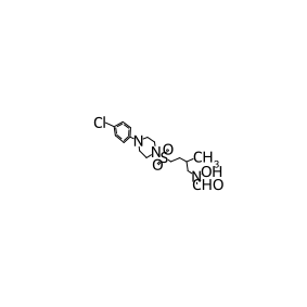 CC(CCS(=O)(=O)N1CCN(c2ccc(Cl)cc2)CC1)CN(O)C=O